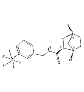 O=C(NCc1cccc(S(F)(F)(F)(F)F)c1)[C@H]1C[C@@H]2CC[C@H]1C2